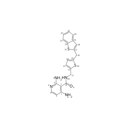 Nc1ccnc(N)c1C(=O)NCc1ccc(Cc2cc3ccccc3s2)s1